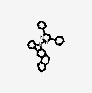 c1ccc(-c2cc(-c3ccccc3)nc(-n3c4ccccc4c4cc5c(cc43)CCc3ccccc3-5)n2)cc1